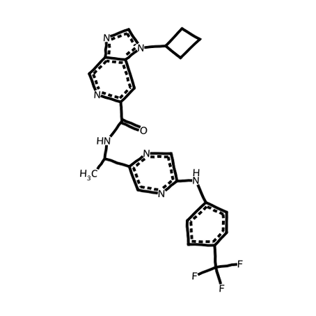 CC(NC(=O)c1cc2c(cn1)ncn2C1CCC1)c1cnc(Nc2ccc(C(F)(F)F)cc2)cn1